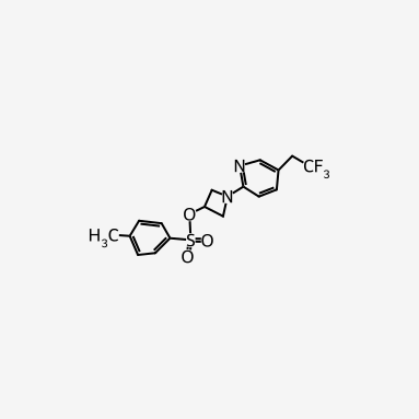 Cc1ccc(S(=O)(=O)OC2CN(c3ccc(CC(F)(F)F)cn3)C2)cc1